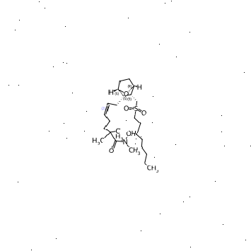 CCCCCCCCS(=O)(=O)C[C@@H]1[C@H](C/C=C\CCC(C)(C)C(=O)N(C)O)[C@@H]2CC[C@H]1O2